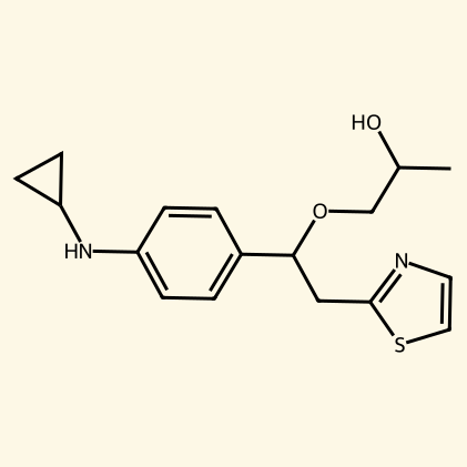 CC(O)COC(Cc1nccs1)c1ccc(NC2CC2)cc1